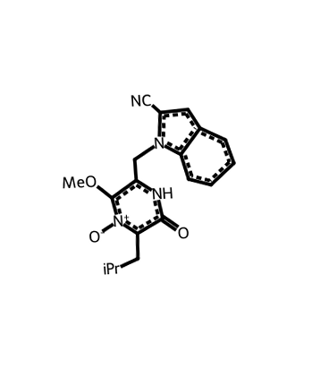 COc1c(Cn2c(C#N)cc3ccccc32)[nH]c(=O)c(CC(C)C)[n+]1[O-]